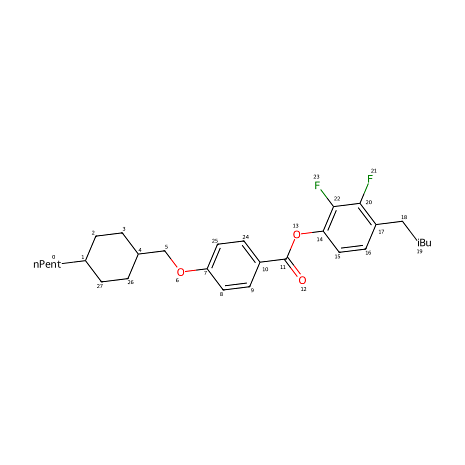 CCCCCC1CCC(COc2ccc(C(=O)Oc3ccc(CC(C)CC)c(F)c3F)cc2)CC1